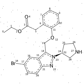 CCOC(=O)Cc1ccccc1OCc1c2cc(Br)ccc2nn1[C@H]1CCNC1